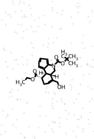 CCOC(=O)[C@H]1CC=C(CO)[C@H]2CN(C(=O)OC(C)(C)C)c3ccccc3[C@H]12